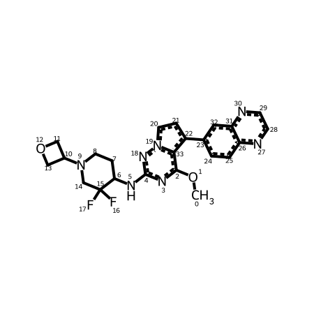 COc1nc(NC2CCN(C3COC3)CC2(F)F)nn2ccc(-c3ccc4nccnc4c3)c12